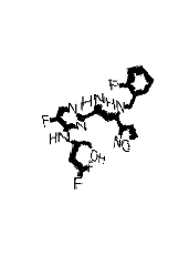 N=C(/C=C(\NCc1ccccc1F)c1ccon1)c1ncc(F)c(NC(CO)CC(F)F)n1